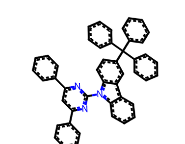 c1ccc(-c2cc(-c3ccccc3)nc(-n3c4ccccc4c4cc(C(c5ccccc5)(c5ccccc5)c5ccccc5)ccc43)n2)cc1